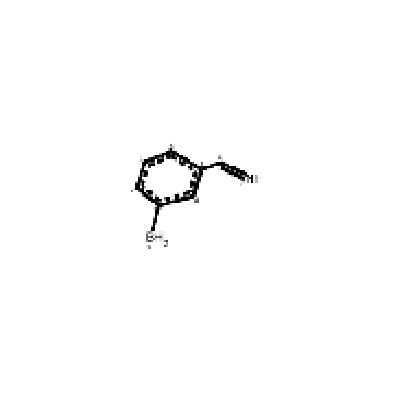 Bc1cccc(C=N)c1